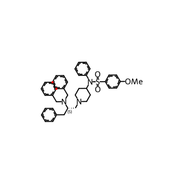 COc1ccc(S(=O)(=O)N(c2ccccc2)C2CCN(C[C@H](Cc3ccccc3)N(Cc3ccccc3)Cc3ccccc3)CC2)cc1